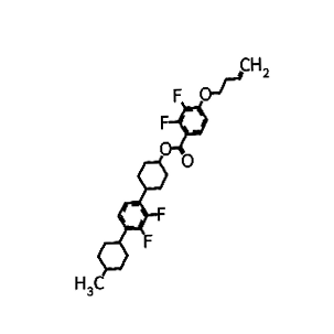 C=CCCOc1ccc(C(=O)OC2CCC(c3ccc(C4CCC(C)CC4)c(F)c3F)CC2)c(F)c1F